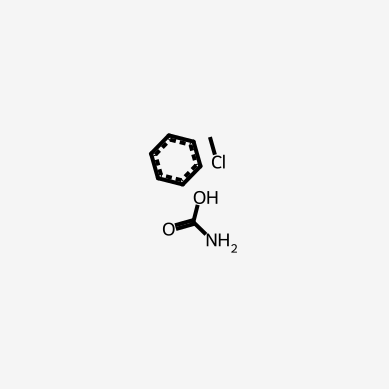 CCl.NC(=O)O.c1ccccc1